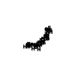 O=C(NC[C@H]1CN(c2ccc(N3CCNN(C(=O)CNCc4c[nH]nn4)CC3)c(F)c2)C(=O)O1)C(F)F